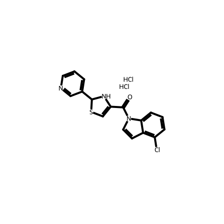 Cl.Cl.O=C(C1=CSC(c2cccnc2)N1)n1ccc2c(Cl)cccc21